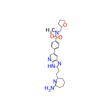 CN(CC1CCCO1)S(=O)(=O)c1ccc(-c2cnc3[nH]c(CCC4CCCCC(N)=N4)nc3c2)cc1